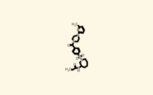 C=CC(=O)NC1CCCCN(S(=O)(=O)c2ccc(C(=O)N3CCN(c4cccc(C)n4)CC3)cc2)C1